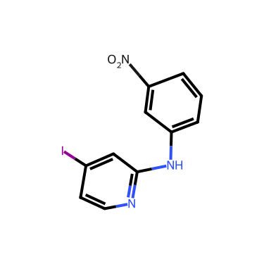 O=[N+]([O-])c1cccc(Nc2cc(I)ccn2)c1